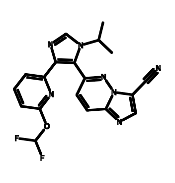 CC(C)n1cnc(-c2cccc(OC(F)F)n2)c1-c1ccc2ncc(C#N)n2n1